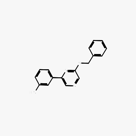 Nc1cccc(-c2cncc(NCc3ccccc3)n2)c1